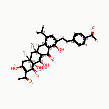 CC(=O)C1=C(O)C[C@@H]2C[C@@H]3Cc4c(C(C)C)cc(CCc5ccc(C(C)=O)cc5)c(O)c4C(=O)C3=C(O)[C@]2(O)C1=O